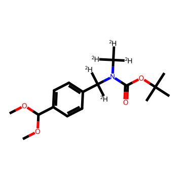 [2H]C([2H])([2H])N(C(=O)OC(C)(C)C)C([2H])([2H])c1ccc(C(OC)OC)cc1